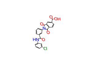 O=C(O)c1ccc2c(c1)C(=O)N(c1cccc(C(=O)Nc3cccc(Cl)c3)c1)C2=O